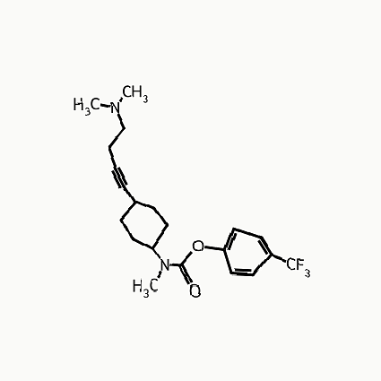 CN(C)CCC#CC1CCC(N(C)C(=O)Oc2ccc(C(F)(F)F)cc2)CC1